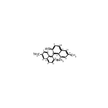 Cc1ccc2c(-c3c(N)ccc4cc(C)ccc34)c(N)ccc2c1